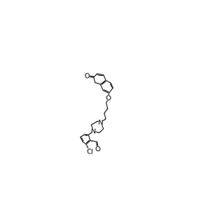 O=Cc1c(Cl)cccc1N1CCN(CCCCOc2ccc3c(c2)CC(=O)C=C3)CC1